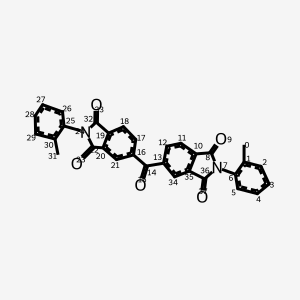 Cc1ccccc1N1C(=O)c2ccc(C(=O)c3ccc4c(c3)C(=O)N(c3ccccc3C)C4=O)cc2C1=O